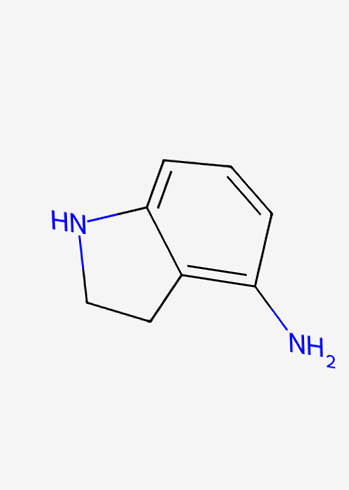 Nc1cccc2c1CCN2